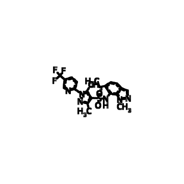 CCc1ccc2cnn(C)c2c1NS(=O)(=O)c1c(C)nn(-c2ccc(C(F)(F)F)cn2)c1C